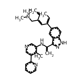 C=C/C(=C\C(=C/C)c1ccc2[nH]nc(C(=C)Nc3cncc(-c4ccccn4)c3C)c2c1)CN(C)C